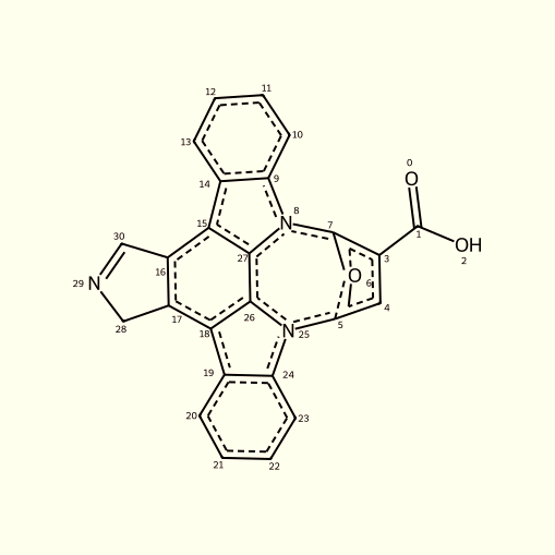 O=C(O)c1cc2oc1n1c3ccccc3c3c4c(c5c6ccccc6n2c5c31)CN=C4